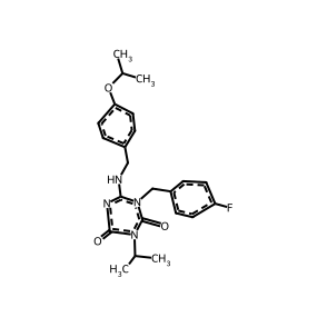 CC(C)Oc1ccc(CNc2nc(=O)n(C(C)C)c(=O)n2Cc2ccc(F)cc2)cc1